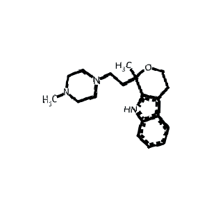 CN1CCN(CCC2(C)OCCc3c2[nH]c2ccccc32)CC1